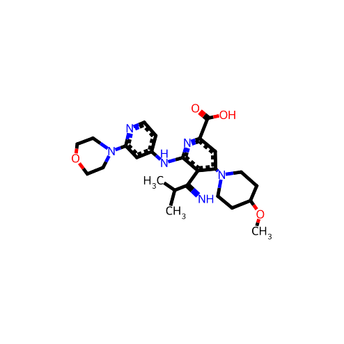 COC1CCN(c2cc(C(=O)O)nc(Nc3ccnc(N4CCOCC4)c3)c2C(=N)C(C)C)CC1